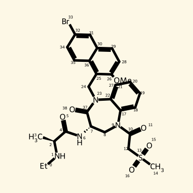 CCN[C@@H](C)C(=O)N[C@H]1CN(C(=O)CS(C)(=O)=O)c2ccccc2N(Cc2c(OC)ccc3cc(Br)ccc23)C1=O